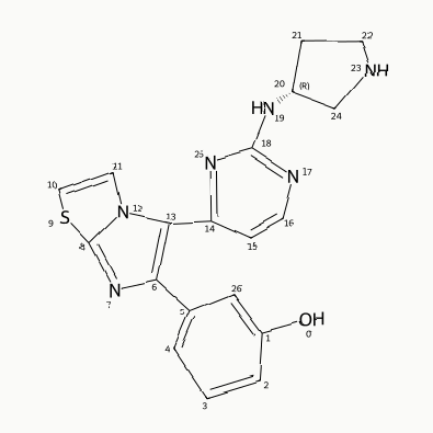 Oc1cccc(-c2nc3sccn3c2-c2ccnc(N[C@@H]3CCNC3)n2)c1